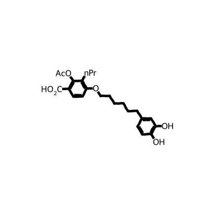 CCCc1c(OCCCCCCc2ccc(O)c(O)c2)ccc(C(=O)O)c1OC(C)=O